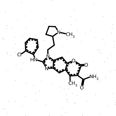 Cc1c(C(N)=O)c(=O)oc2cc3c(cc12)nc(Nc1ccccc1Cl)n3CCC1CCCN1C